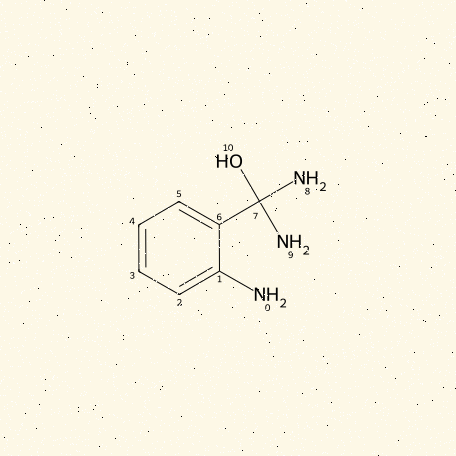 Nc1ccccc1C(N)(N)O